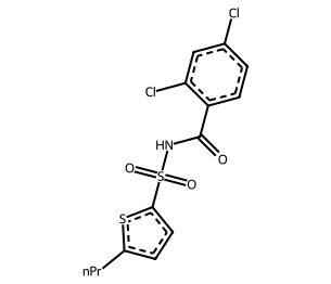 CCCc1ccc(S(=O)(=O)NC(=O)c2ccc(Cl)cc2Cl)s1